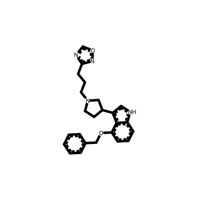 c1ccc(COc2cccc3[nH]cc(C4CCN(CCCc5ncon5)C4)c23)cc1